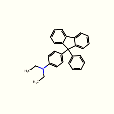 CCN(CC)c1ccc(C2(c3ccccc3)c3ccccc3-c3ccccc32)cc1